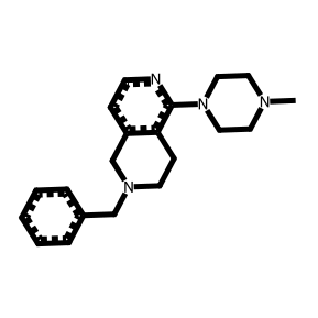 CN1CCN(c2nccc3c2CCN(Cc2ccccc2)C3)CC1